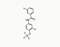 O=C(Nc1ccc(OC(F)(F)F)c(F)c1)c1cccc(I)c1